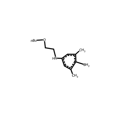 Bc1c(C)cc(NCCOCCCC)cc1C